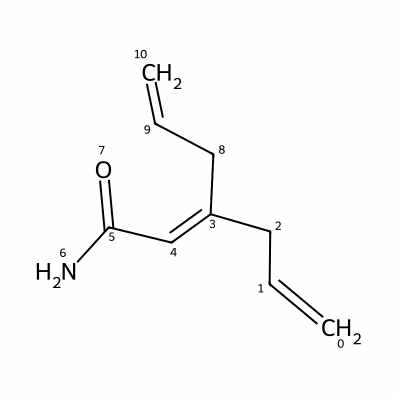 C=CCC(=CC(N)=O)CC=C